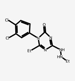 CCNNc1nc(CC)n(-c2ccc(Cl)c(Cl)c2)c(=O)n1